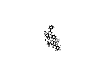 Cc1c(C(CC(C)c2ccccc2)c2ccccc2)ccc(O)c1-c1c(C)c(S(=O)(=O)O)cc(C(C)(C)c2ccccc2)c1O